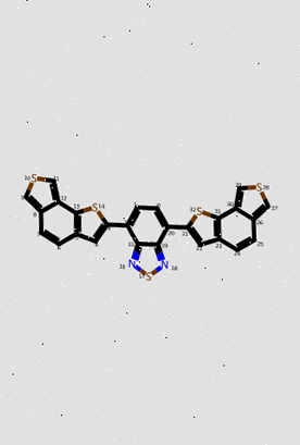 c1cc(-c2cc3ccc4cscc4c3s2)c2nsnc2c1-c1cc2ccc3cscc3c2s1